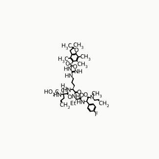 C=CCN(C)C(=O)[C@H](NC(=O)[C@H](CC)NC(=O)[C@H](CCCNC(=N)NS(=O)(=O)c1c(C)c(C)c2c(c1C)CC(C)(C)O2)NC(=O)[C@@](C)(CC=C)NC(=O)O)c1ccc(F)cc1